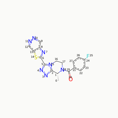 C[C@@H]1c2nnc(-c3nc4cnncc4s3)n2CCN1C(=O)c1ccc(F)cc1